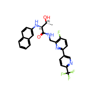 C[C@@H](O)[C@H](Nc1ccc2ccccc2c1)C(=O)NCc1nc(-c2ccc(C(F)(F)F)nc2)ccc1F